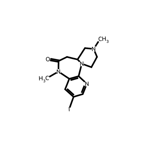 CN1CCN2c3ncc(I)cc3N(C)C(=O)CC2C1